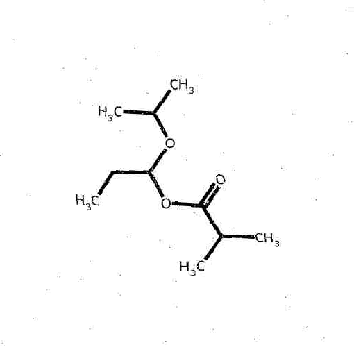 CCC(OC(=O)C(C)C)OC(C)C